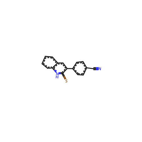 N#Cc1ccc(-c2cc3ccccc3[nH]c2=S)cc1